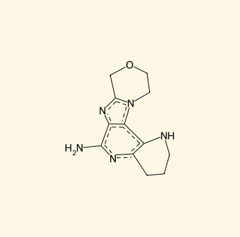 Nc1nc2c(c3c1nc1n3CCOC1)NCCC2